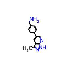 Cc1n[nH]c2ncc(-c3ccc(CN)cc3)cc12